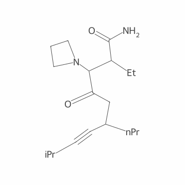 CCCC(C#CC(C)C)CC(=O)C(C(CC)C(N)=O)N1CCC1